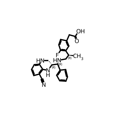 C[C@@H](CN[C@H](c1ccccc1)[C@H]1CNc2cccc(C#N)c2N1)c1cc(CC(=O)O)ccc1F